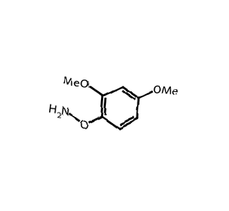 COc1ccc(ON)c(OC)c1